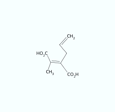 C=CCC(C(=O)O)=C(C)C(=O)O